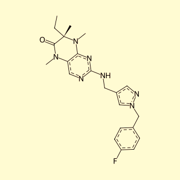 CC[C@@]1(C)C(=O)N(C)c2cnc(NCc3cnn(Cc4ccc(F)cc4)c3)nc2N1C